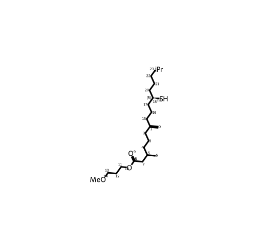 C=C(CCCC(C)CC(=O)OCCCOC)CCC[C@H](S)CCCC(C)C